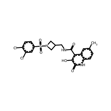 Cc1ccc2[nH]c(=O)c(O)c(C(=O)NCC3CN(S(=O)(=O)c4ccc(Cl)c(Cl)c4)C3)c2c1